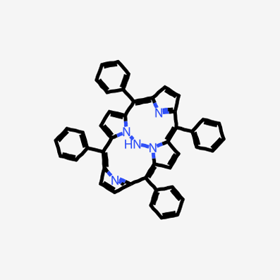 C1=C/C2=C(\c3ccccc3)c3ccc4n3Nn3/c(cc/c3=C(\c3ccccc3)C3=N/C(=C\4c4ccccc4)C=C3)=C(/c3ccccc3)C1=N2